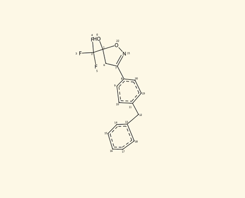 OC1(C(F)(F)F)CC(c2ccc(Cc3ccccc3)cc2)=NO1